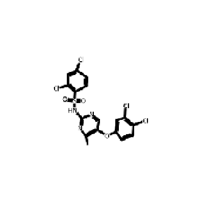 Cc1nc(NS(=O)(=O)c2ccc(Cl)cc2Cl)ncc1Oc1ccc(Cl)c(Cl)c1